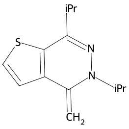 C=C1c2ccsc2C(C(C)C)=NN1C(C)C